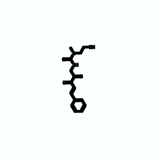 CN(CCO)C(=O)NCC(=O)C(=O)/C=C/c1ccccc1